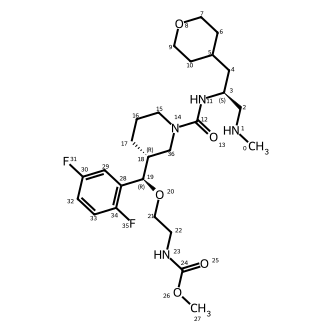 CNC[C@H](CC1CCOCC1)NC(=O)N1CCC[C@@H]([C@@H](OCCNC(=O)OC)c2cc(F)ccc2F)C1